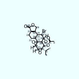 CC(=O)O[C@@H]1[C@@]2(C(C)C)O[C@H]2[C@@H]2O[C@]23[C@]12O[C@H]2[C@@H](Br)C1C2=C(CC[C@@]13C)C(=O)OC2